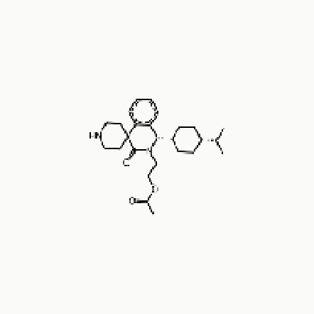 CC(=O)OCCN1C(=O)C2(CCNCC2)c2ccccc2C1[C@H]1CC[C@@H](C(C)C)CC1